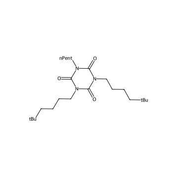 CCCCCn1c(=O)n(CCCCC(C)(C)C)c(=O)n(CCCCC(C)(C)C)c1=O